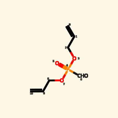 C=CCOP(=O)(C=O)OCC=C